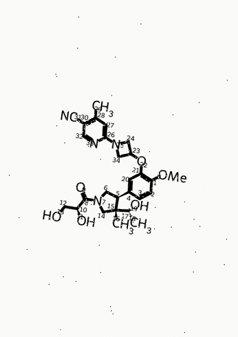 COc1ccc([C@@H]2CN(C(=O)[C@@H](O)CO)C[C@@]2(C)[C@@H](C)O)cc1OC1CN(c2cc(C)c(C#N)cn2)C1